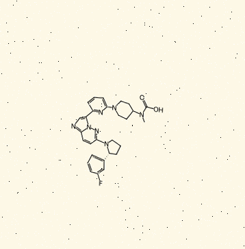 CN(C(=O)O)C1CCN(c2cccc(-c3cnc4ccc(N5CCC[C@@H]5c5cccc(F)c5)nn34)n2)CC1